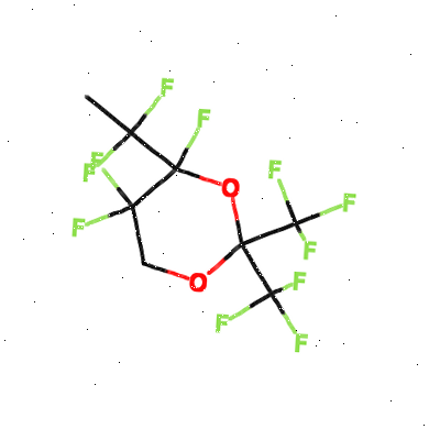 CC(F)(F)C1(F)OC(C(F)(F)F)(C(F)(F)F)OCC1(F)F